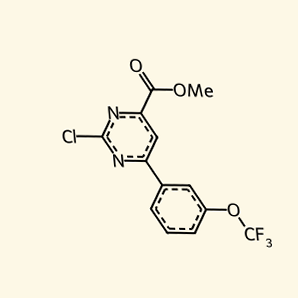 COC(=O)c1cc(-c2cccc(OC(F)(F)F)c2)nc(Cl)n1